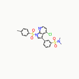 Cc1ccc(S(=O)(=O)n2cc(-c3cccc(S(=O)(=O)N(C)C)c3)c3c(Cl)ccnc32)cc1